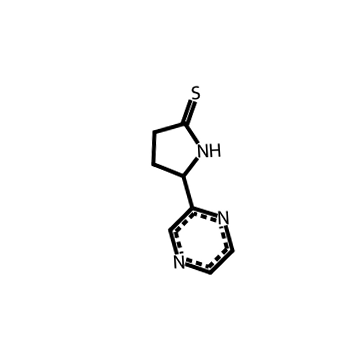 S=C1CCC(c2cnccn2)N1